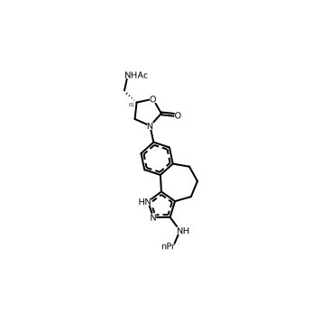 CCCNc1n[nH]c2c1CCCc1cc(N3C[C@H](CNC(C)=O)OC3=O)ccc1-2